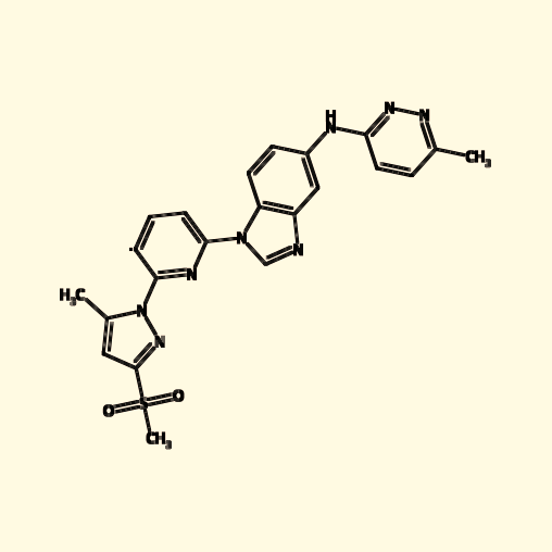 Cc1ccc(Nc2ccc3c(c2)ncn3-c2cc[c]c(-n3nc(S(C)(=O)=O)cc3C)n2)nn1